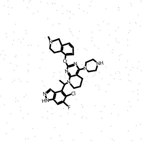 CC(c1c(Cl)c(F)cc2[nH]ncc12)N1CCCc2c(N3CCNCC3)nc(Oc3cccc4c3CCN(C)C4)nc21